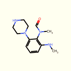 CNc1cccc(N2CCNCC2)c1N(C)C=O